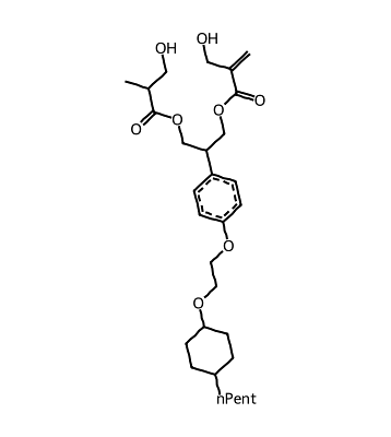 C=C(CO)C(=O)OCC(COC(=O)C(C)CO)c1ccc(OCCOC2CCC(CCCCC)CC2)cc1